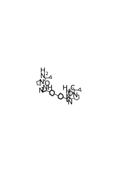 C[C@H](C(=O)N1CCC[C@H]1c1ncc(-c2ccc(-c3ccc(-c4cnc([C@@H]5CCCN5C(=O)[C@@H](N)C5CC5)[nH]4)cc3)cc2)[nH]1)C1CC1